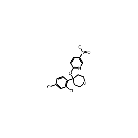 O=[N+]([O-])c1ccc(OC2(c3ccc(Cl)cc3Cl)CCOCC2)nc1